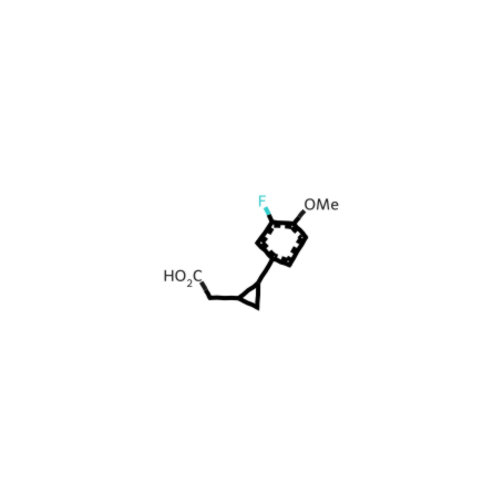 COc1ccc(C2CC2CC(=O)O)cc1F